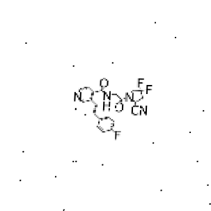 N#CC1CC(F)(F)CN1C(=O)CNC(=O)c1ccncc1C=Cc1ccc(F)cc1